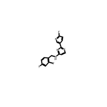 Fc1ccc(CNc2ccnc(-c3ccc(F)nc3)n2)c(F)c1